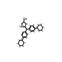 OC1CNC(C(c2ccc(C3CCCCC3)cc2)c2ccc(C3CCCCC3)cc2)C1